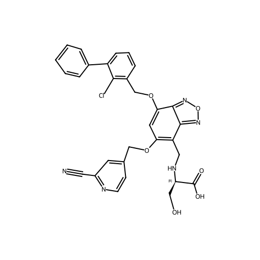 N#Cc1cc(COc2cc(OCc3cccc(-c4ccccc4)c3Cl)c3nonc3c2CN[C@H](CO)C(=O)O)ccn1